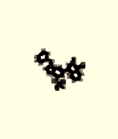 Cn1cc(-c2cc(NS(C)(=O)=O)c3ccn(Cc4ccccc4)c3c2)c2ccccc2c1=O